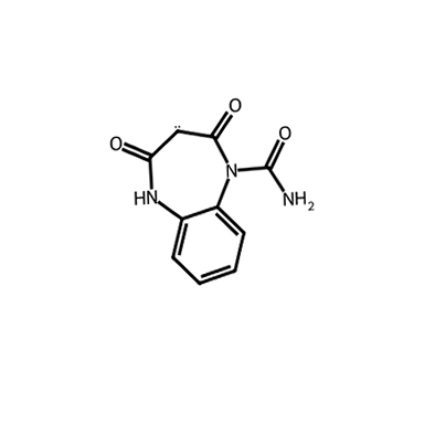 NC(=O)N1C(=O)[C]C(=O)Nc2ccccc21